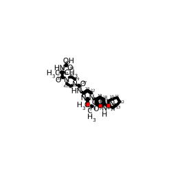 CC(C)(C)OC(=O)NC1CC2CCC(C1)N2Cc1ccc(-n2ccc(NC(=O)N3CCN(C(=O)C(C)(C)NC(=O)O)CC3)nc2=O)cc1